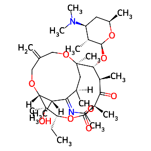 C=C1CO[C@@H]2[C@@H](C)/C(=N/C(C)=O)[C@H](C)C[C@@](C)(OC1)[C@H](O[C@@H]1O[C@H](C)C[C@H](N(C)C)[C@H]1C)[C@@H](C)C(=O)[C@@H](C)C(=O)O[C@H](CC)[C@@]2(C)O